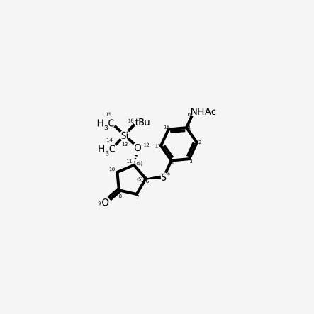 CC(=O)Nc1ccc(S[C@H]2CC(=O)C[C@@H]2O[Si](C)(C)C(C)(C)C)cc1